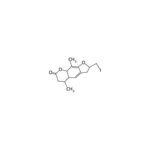 CC1=C2OC(CI)CC2=CC2C(C)CC(=O)OC12